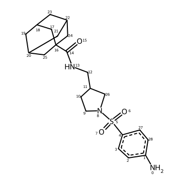 Nc1ccc(S(=O)(=O)N2CCC(CNC(=O)C34CC5CC(CC(C5)C3)C4)C2)cc1